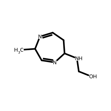 CC1C=NC(NCO)CC=N1